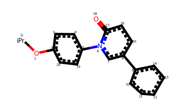 CC(C)Oc1ccc(-n2cc(-c3ccccc3)ccc2=O)cc1